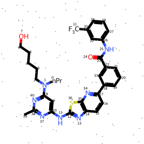 CCCN(CCCCCO)c1cc(Nc2nc3ccc(-c4cccc(C(=O)Nc5cccc(C(F)(F)F)c5)c4)nc3s2)nc(C)n1